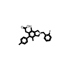 Cc1ccc(-c2c(C)c3c(c(C)c2CC(=O)O)CN(Cc2ccccc2F)C3)cc1